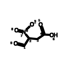 O=CC(CC(=O)O)[N+](=O)[O-]